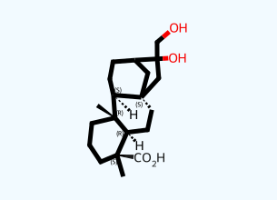 C[C@]12CCC[C@](C)(C(=O)O)[C@@H]1CC[C@@]13CC(CC[C@@H]12)C(O)(CO)C3